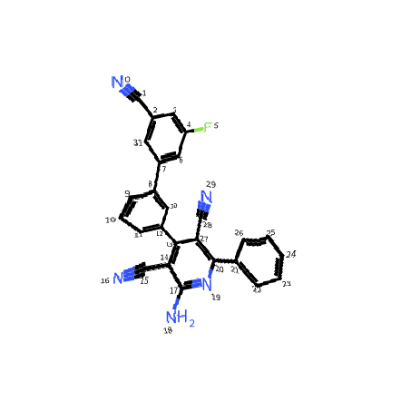 N#Cc1cc(F)cc(-c2cccc(-c3c(C#N)c(N)nc(-c4ccccc4)c3C#N)c2)c1